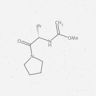 C=C(N[C@H](C(=O)N1CCCC1)C(C)C)OC